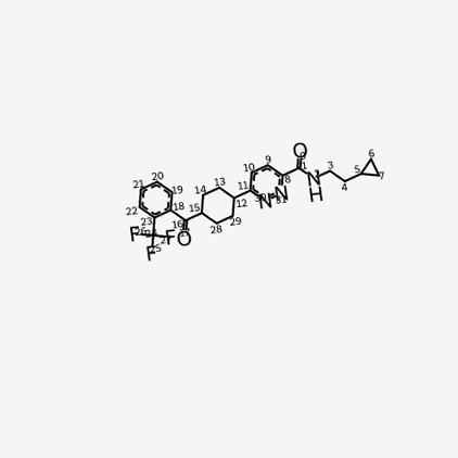 O=C(NCCC1CC1)c1ccc(C2CCC(C(=O)c3ccccc3C(F)(F)F)CC2)nn1